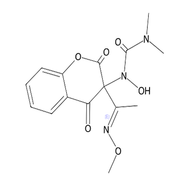 CO/N=C(\C)C1(N(O)C(=O)N(C)C)C(=O)Oc2ccccc2C1=O